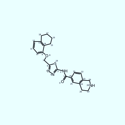 O=C(Nc1nnc(COc2cccc3c2CCCC3)s1)c1ccc2c(c1)CCNC2